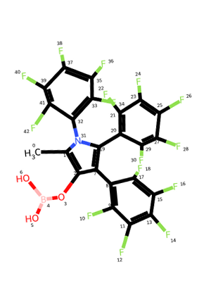 Cc1c(OB(O)O)c(-c2c(F)c(F)c(F)c(F)c2F)c(-c2c(F)c(F)c(F)c(F)c2F)n1-c1c(F)c(F)c(F)c(F)c1F